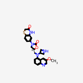 COc1cnc2cccc(N(C[C@@H]3CN(c4ccc5c(c4)NC(=O)CS5)C(=O)O3)C3CNC3)c2c1